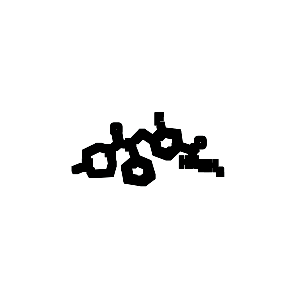 CN1CCCN(C(=O)N(Cc2ccc(C(=O)NN)cc2F)c2ccccc2)CC1